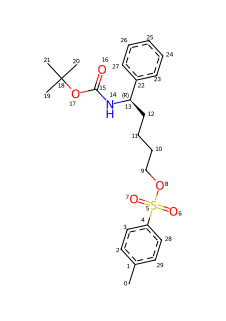 Cc1ccc(S(=O)(=O)OCCCC[C@@H](NC(=O)OC(C)(C)C)c2ccccc2)cc1